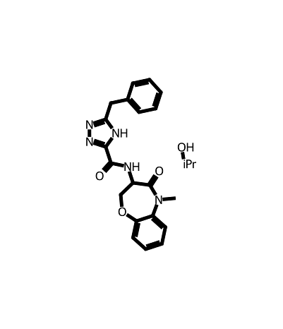 CC(C)O.CN1C(=O)C(NC(=O)c2nnc(Cc3ccccc3)[nH]2)COc2ccccc21